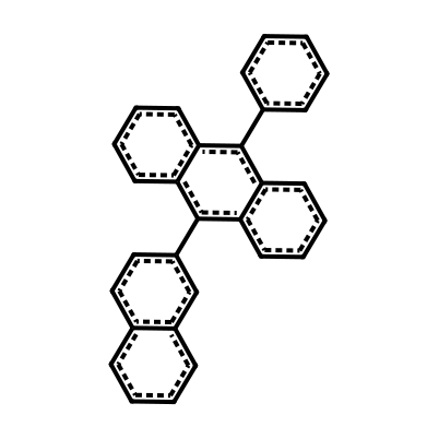 c1ccc(-c2c3ccccc3c(-c3ccc4ccccc4c3)c3ccccc23)cc1